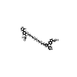 Cc1ncsc1-c1ccc(CNC=O)c(OCCOCCOCCOCCOCCCn2cc(-c3ccc4c(c3)CC/C4=N\O)c(-c3ccncc3)n2)c1